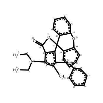 CCN(CC)c1cc(C)c(Nc2ccccc2)c2c1C(=O)OC21c2ccccc2Oc2ccccc21